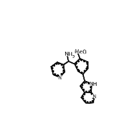 COc1ccc(-c2cc3cccnc3[nH]2)cc1C(N)c1cccnc1